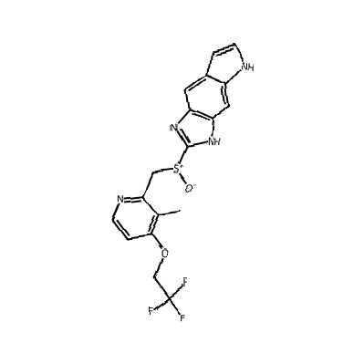 Cc1c(OCC(F)(F)F)ccnc1C[S+]([O-])c1nc2cc3cc[nH]c3cc2[nH]1